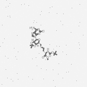 COC(=O)[C@H](CCSC[C@H]1O[C@@H](n2cnc3c(N)nc(Cl)nc32)[C@@H]2OC(C)(C)O[C@@H]21)NC(=O)OC(C)(C)C